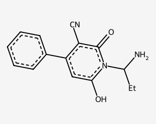 CCC(N)n1c(O)cc(-c2ccccc2)c(C#N)c1=O